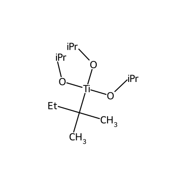 CC[C](C)(C)[Ti]([O]C(C)C)([O]C(C)C)[O]C(C)C